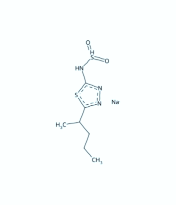 CCCC(C)c1nnc(N[SH](=O)=O)s1.[Na]